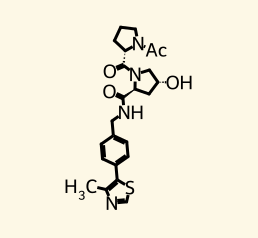 CC(=O)N1CCC[C@H]1C(=O)N1C[C@H](O)C[C@H]1C(=O)NCc1ccc(-c2scnc2C)cc1